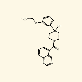 O=C(O)COc1cccc(C2(O)CCN(C(=O)c3cccc4ccccc34)CC2)c1